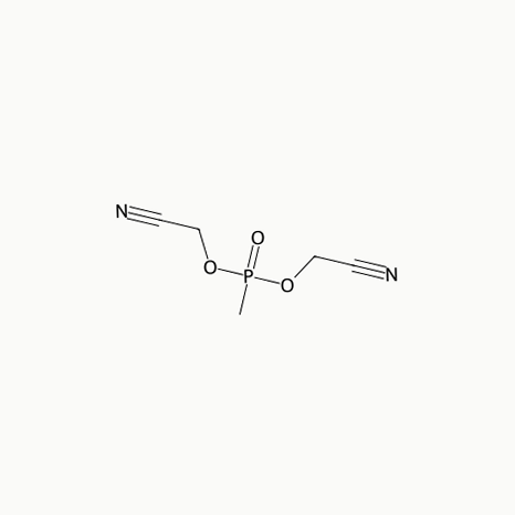 CP(=O)(OCC#N)OCC#N